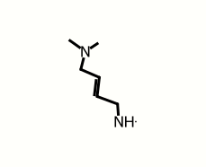 CN(C)C/C=C/C[NH]